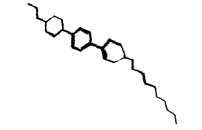 CCCCCCCCCCC1CC=C(c2ccc(C3CCC(CCC)CC3)cc2)CC1